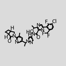 Cc1cc(C(C)n2cc(NC(=O)c3nc(-c4c(C(F)F)ccc(Cl)c4F)cnc3C(C)O)cn2)cnc1N1C[C@H]2CC[C@H]2C1=O